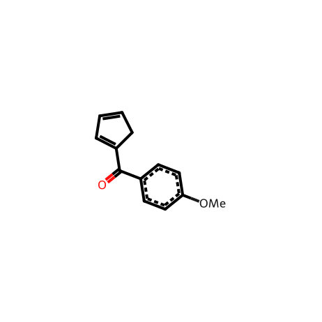 COc1ccc(C(=O)C2=CC=CC2)cc1